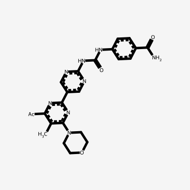 CC(=O)c1nc(-c2cnc(NC(=O)Nc3ccc(C(N)=O)cc3)nc2)nc(N2CCOCC2)c1C